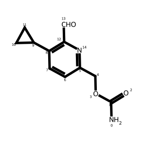 NC(=O)OCc1ccc(C2CC2)c(C=O)n1